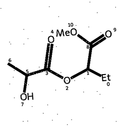 CCC(OC(=O)C(C)O)C(=O)OC